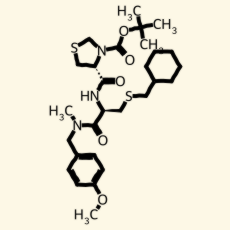 COc1ccc(CN(C)C(=O)[C@H](CSCC2CCCCC2)NC(=O)[C@@H]2CSCN2C(=O)OC(C)(C)C)cc1